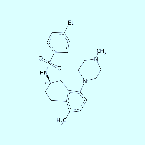 CCc1ccc(S(=O)(=O)N[C@@H]2CCc3c(C)ccc(N4CCN(C)CC4)c3C2)cc1